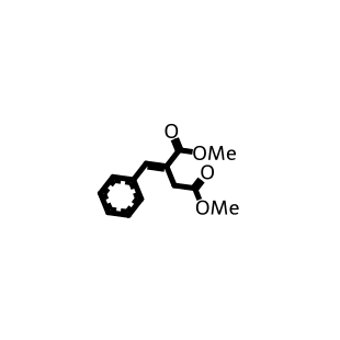 COC(=O)C/C(=C\c1ccccc1)C(=O)OC